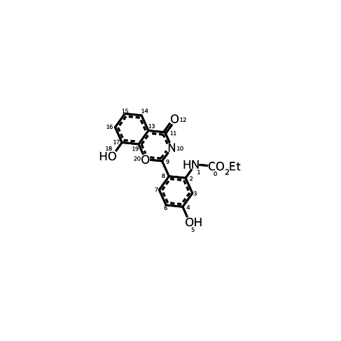 CCOC(=O)Nc1cc(O)ccc1-c1nc(=O)c2cccc(O)c2o1